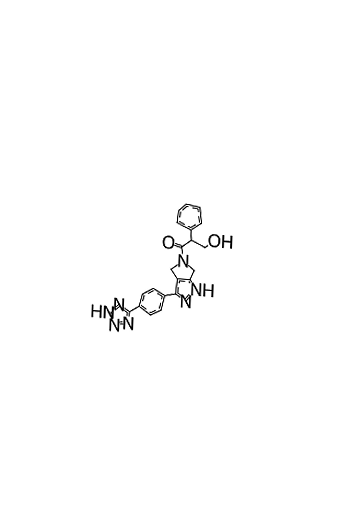 O=C(C(CO)c1ccccc1)N1Cc2[nH]nc(-c3ccc(-c4nn[nH]n4)cc3)c2C1